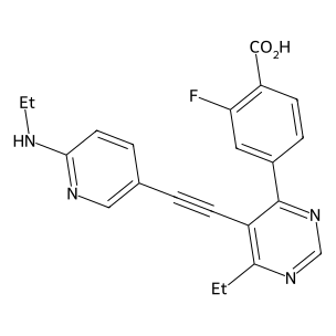 CCNc1ccc(C#Cc2c(CC)ncnc2-c2ccc(C(=O)O)c(F)c2)cn1